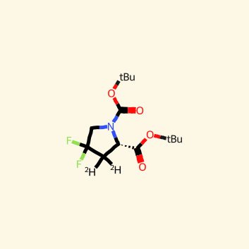 [2H]C1([2H])[C@@H](C(=O)OC(C)(C)C)N(C(=O)OC(C)(C)C)CC1(F)F